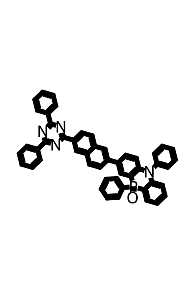 O=P1(c2ccccc2)c2ccccc2N(c2ccccc2)c2ccc(-c3ccc4cc(-c5nc(-c6ccccc6)nc(-c6ccccc6)n5)ccc4c3)cc21